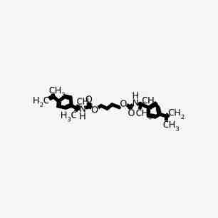 C=C(C)c1ccc(C(C)(C)NC(=O)OCCCCOC(=O)NC(C)(C)c2ccc(C(=C)C)cc2)cc1